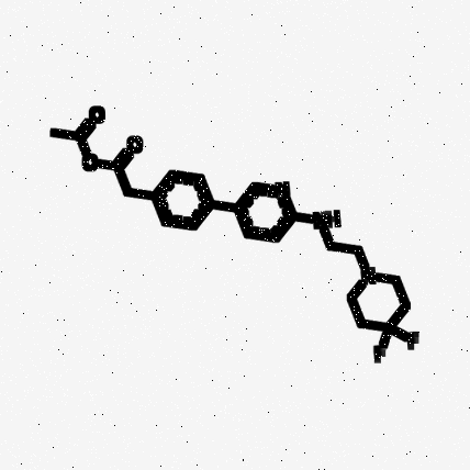 CC(=O)OC(=O)Cc1ccc(-c2ccc(NCCN3CCC(F)(F)CC3)nc2)cc1